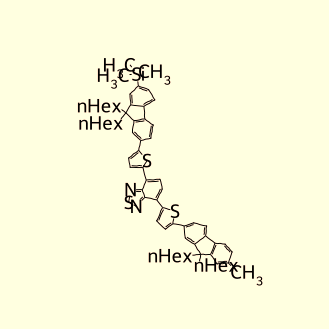 CCCCCCC1(CCCCCC)c2cc(C)ccc2-c2ccc(-c3ccc(-c4ccc(-c5ccc(-c6ccc7c(c6)C(CCCCCC)(CCCCCC)c6cc([Si](C)(C)C)ccc6-7)s5)c5nsnc45)s3)cc21